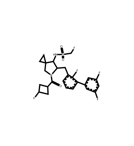 O=C(C1CC(F)C1)N1CC2(CC2)C(NS(=O)(=O)CF)C1Cc1cccc(-c2cc(F)cc(F)c2)c1F